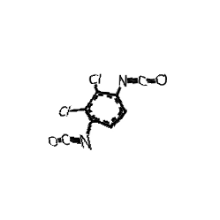 O=C=Nc1ccc(N=C=O)c(Cl)c1Cl